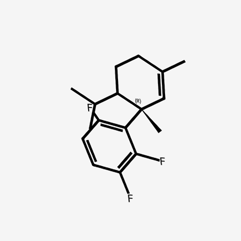 CC1=C[C@](C)(c2c(F)ccc(F)c2F)C(C(C)C)CC1